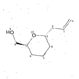 C=CC[C@@H]1CCC[C@@H](CO)O1